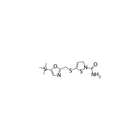 C[Si](C)(C)c1cnc(CSC2=CCN(C(N)=O)S2)o1